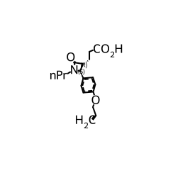 C=CCOc1ccc([C@@H]2[C@@H](CCC(=O)O)C(=O)N2CCC)cc1